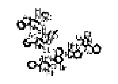 CCn1nc(-c2ccccc2)c(C(C)=O)c(Nc2cc(Br)cc3cccnc23)c1=O.CCn1nc(-c2ccccc2)c(C(C)=O)c(Nc2cc(C)on2)c1=O.CCn1nc(-c2ccccc2)c(C(C)=O)c(Nc2cccc3cn[nH]c23)c1=O.CCn1nc(-c2ccccc2)c(C(C)=O)c(Nc2ccon2)c1=O